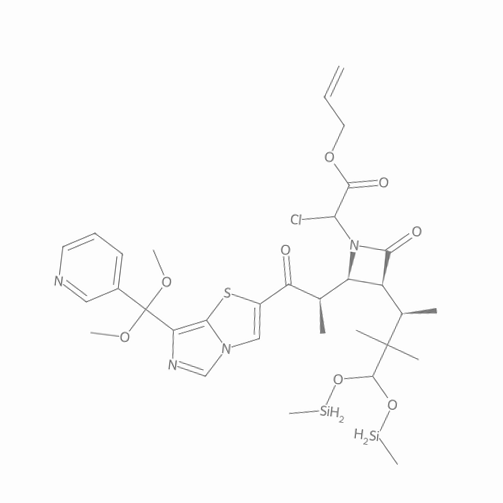 C=CCOC(=O)C(Cl)N1C(=O)[C@@H]([C@@H](C)C(C)(C)C(O[SiH2]C)O[SiH2]C)[C@H]1[C@@H](C)C(=O)c1cn2cnc(C(OC)(OC)c3cccnc3)c2s1